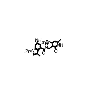 CCCc1cc(C)[nH]c(=O)c1CNC(=O)c1cc(N)cc2c1c(C)cn2C(C)C